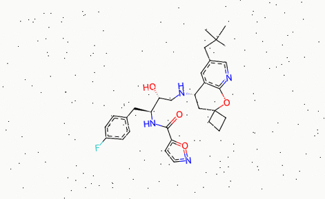 CC(C)(C)Cc1cnc2c(c1)[C@@H](NC[C@@H](O)[C@H](Cc1ccc(F)cc1)NC(=O)c1ccno1)CC1(CCC1)O2